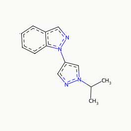 CC(C)n1cc(-n2ncc3c[c]ccc32)cn1